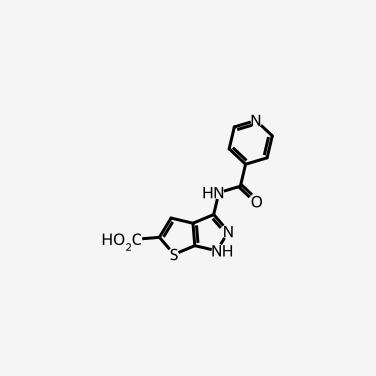 O=C(Nc1n[nH]c2sc(C(=O)O)cc12)c1ccncc1